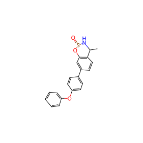 CC1NS(=O)Oc2cc(-c3ccc(Oc4ccccc4)cc3)ccc21